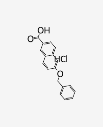 Cl.O=C(O)c1ccc2cc(OCc3ccccc3)ccc2c1